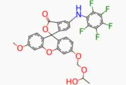 COc1ccc2c(c1)Oc1cc(OCOC(C)O)ccc1C21OC(=O)c2cc(Nc3c(F)c(F)c(F)c(F)c3F)ccc21